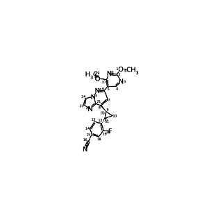 COc1ncc(-c2cc([C@H]3C[C@@H]3c3ccc(C#N)cc3F)c3nccn3n2)c(OC)n1